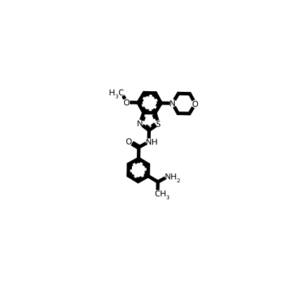 COc1ccc(N2CCOCC2)c2sc(NC(=O)c3cccc(C(C)N)c3)nc12